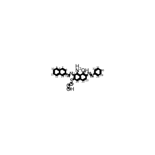 Nc1c(N=Nc2ccc3ccccc3c2)c(SOOO)cc2ccc(N=Nc3ccccc3)c(O)c12